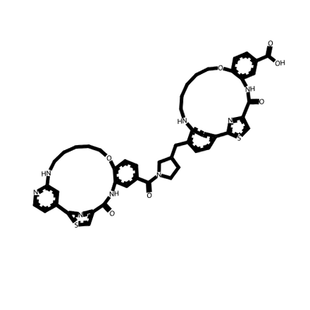 O=C(O)c1ccc2c(c1)NC(=O)c1csc(n1)-c1ccc(CC3CCN(C(=O)c4ccc5c(c4)NC(=O)c4csc(n4)-c4ccnc(c4)NCCCCCO5)C3)c(c1)NCCCCCO2